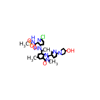 Cc1cc([C@@H](C)Nc2ccc(Cl)nc2C(=O)NS(C)(=O)=O)c2nc(-c3ccc(N4CCC(O)CC4)nc3)n(C)c(=O)c2c1